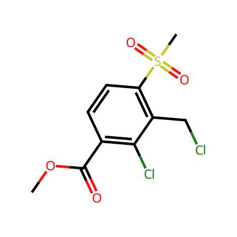 COC(=O)c1ccc(S(C)(=O)=O)c(CCl)c1Cl